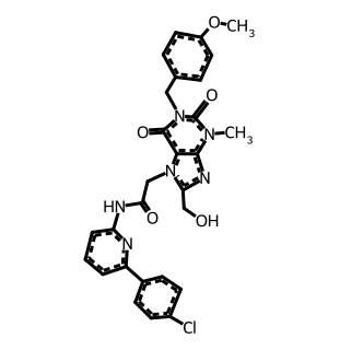 COc1ccc(Cn2c(=O)c3c(nc(CO)n3CC(=O)Nc3cccc(-c4ccc(Cl)cc4)n3)n(C)c2=O)cc1